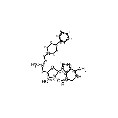 CN(CCN1CCC(c2ccccc2)CC1)CC1OC(n2cnc3c2N(C)CNC3N)[C@H](O)[C@@H]1O